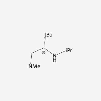 CNC[C@@H](NC(C)C)C(C)(C)C